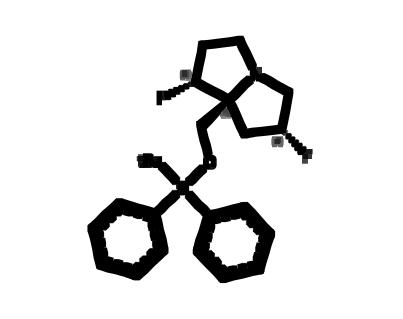 CC(C)(C)[Si](OC[C@]12C[C@@H](F)CN1CC[C@H]2F)(c1ccccc1)c1ccccc1